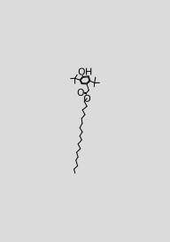 CCCCCCCCCCCCCCCCCCOC(=O)Cc1cc(C(C)(C)C)c(O)cc1C(C)(C)C